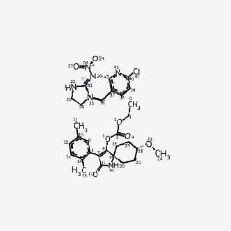 CCOC(=O)OC1=C(c2cc(C)ccc2C)C(=O)N[C@]12CC[C@@H](OC)CC2.O=[N+]([O-])/N=C1\NCCN1Cc1ccc(Cl)nc1